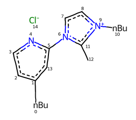 CCCCc1ccnc(-n2cc[n+](CCCC)c2C)c1.[Cl-]